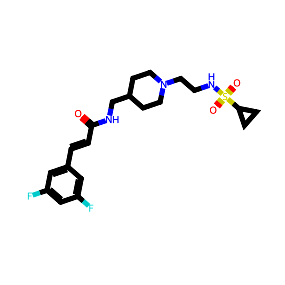 O=C(C=Cc1cc(F)cc(F)c1)NCC1CCN(CCNS(=O)(=O)C2CC2)CC1